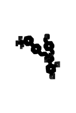 O=Cc1ccc(Cn2cc(-c3ccc(Cl)cc3Cl)nc2C=Cc2ccc(-c3cccc(C(F)(F)F)c3)cc2)cc1